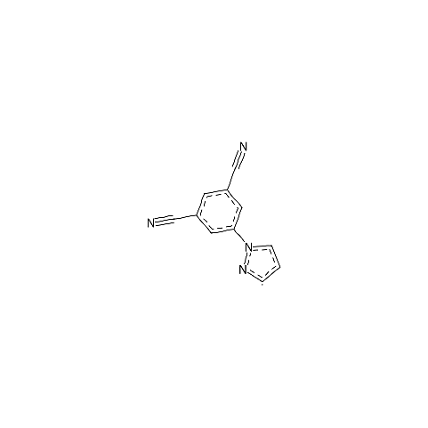 N#Cc1cc(C#N)cc(-n2cc[c]n2)c1